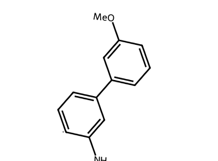 COc1cccc(-c2cc[c]c(N)c2)c1